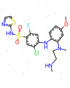 CNCCN(C)c1cc(OC)ccc1Nc1cc(F)c(S(=O)(=O)Nc2nccs2)cc1Cl